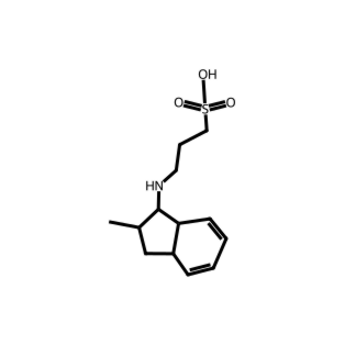 CC1CC2C=CC=CC2C1NCCCS(=O)(=O)O